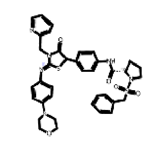 O=C(Nc1ccc(C2S/C(=N\c3ccc(N4CCOCC4)cc3)N(Cc3ccccn3)C2=O)cc1)[C@@H]1CCCN1S(=O)(=O)Cc1ccccc1